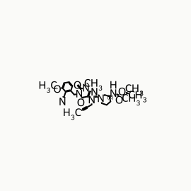 CC#CCn1c(N2CCC[C@@H](NC(=O)OC(C)(C)C)C2)nc2c1c(=O)n(Cc1cccc(OC)c1C#N)c(=O)n2C